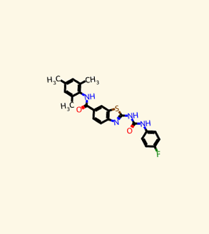 Cc1cc(C)c(NC(=O)c2ccc3nc(NC(=O)Nc4ccc(F)cc4)sc3c2)c(C)c1